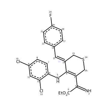 CCOC(=O)C(=N)C1=C(Nc2ccc(Cl)cc2Cl)/C(=C/c2ccc(F)cc2)CSC1